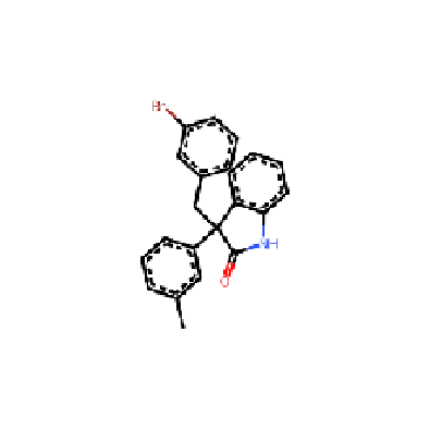 Cc1cccc(C2(Cc3cccc(Br)c3)C(=O)Nc3ccccc32)c1